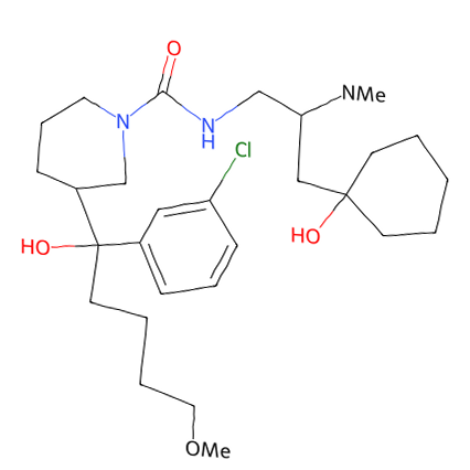 CNC(CNC(=O)N1CCCC(C(O)(CCCCOC)c2cccc(Cl)c2)C1)CC1(O)CCCCC1